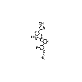 CN(C)CCOc1cc(F)cc(-c2cncc3[nH]c(-c4n[nH]c5ccc(-c6cncc(O)c6)cc45)cc23)c1